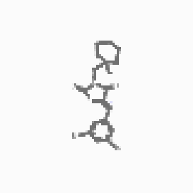 CC1(CN2C(=O)S/C(=C\c3cc(Br)cc(Br)c3)C2=O)CCCCC1